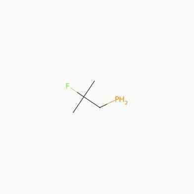 CC(C)(F)CP